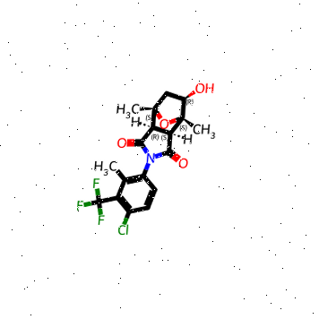 Cc1c(N2C(=O)[C@@H]3[C@H](C2=O)[C@]2(C)O[C@@]3(C)C[C@H]2O)ccc(Cl)c1C(F)(F)F